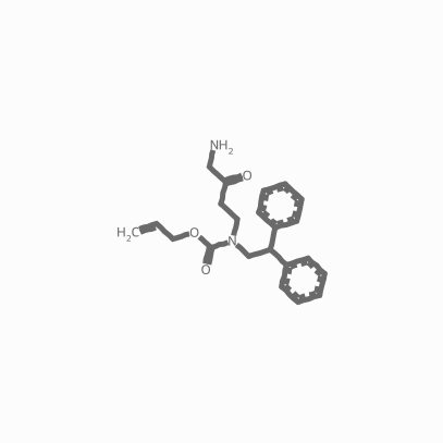 C=CCOC(=O)N(CCC(=O)CN)CC(c1ccccc1)c1ccccc1